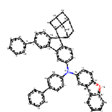 c1ccc(-c2ccc(N(c3ccc4c(c3)-c3cc(-c5ccccc5)ccc3C43C4CC5CC6CC3C56C4)c3ccc4oc5ccccc5c4c3)cc2)cc1